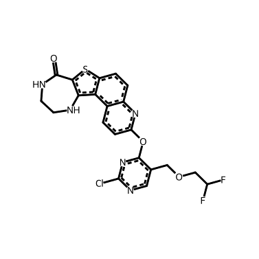 O=C1NCCNc2c1sc1ccc3nc(Oc4nc(Cl)ncc4COCC(F)F)ccc3c21